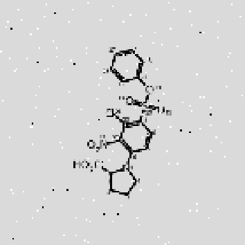 O=C(O)[C@@H]1CCCN1c1ccc(S(=O)(=O)Oc2ccccc2)c(Cl)c1[N+](=O)[O-]